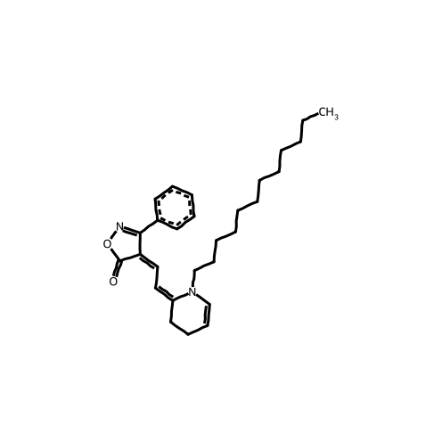 CCCCCCCCCCCCN1C=CCCC1=CC=C1C(=O)ON=C1c1ccccc1